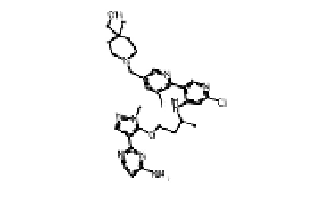 C[C@@H](CCOc1c(-c2nccc(N)n2)cnn1C)Nc1cc(Cl)ncc1-c1ncc(CN2CCC(F)(CO)CC2)cc1F